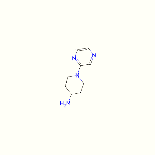 NC1CCN(c2cnc[c]n2)CC1